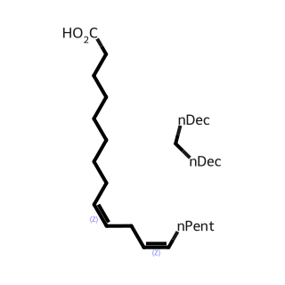 CCCCC/C=C\C/C=C\CCCCCCCC(=O)O.CCCCCCCCCCCCCCCCCCCCC